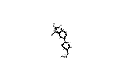 CNCc1ccc(-c2ccc3oc(=O)n(C)c3c2)nc1